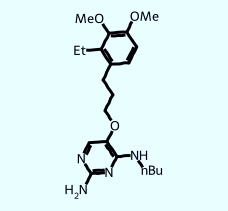 CCCCNc1nc(N)ncc1OCCCc1ccc(OC)c(OC)c1CC